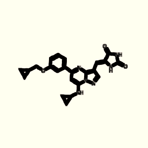 O=C1NC(=O)/C(=C/c2cnn3c(NC4CC4)cc(-c4cccc(OCC5CC5)c4)nc23)N1